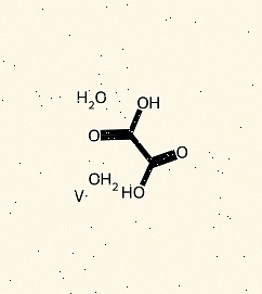 O.O.O=C(O)C(=O)O.[V]